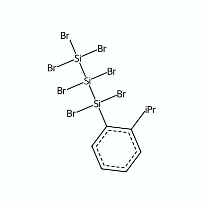 CC(C)c1ccccc1[Si](Br)(Br)[Si](Br)(Br)[Si](Br)(Br)Br